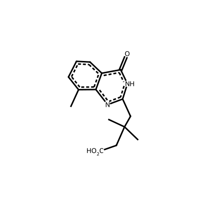 Cc1cccc2c(=O)[nH]c(CC(C)(C)CC(=O)O)nc12